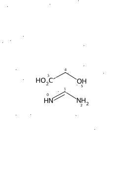 N=CN.O=C(O)CO